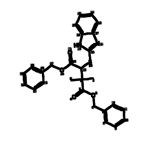 CC(C)(C(=O)OCc1ccccc1)C(Sc1nc2ccccc2[nH]1)C(=O)OCc1ccccc1